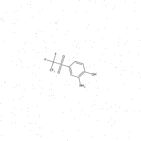 Nc1cc(S(=O)(=O)C(F)(F)C(F)(F)F)ccc1O